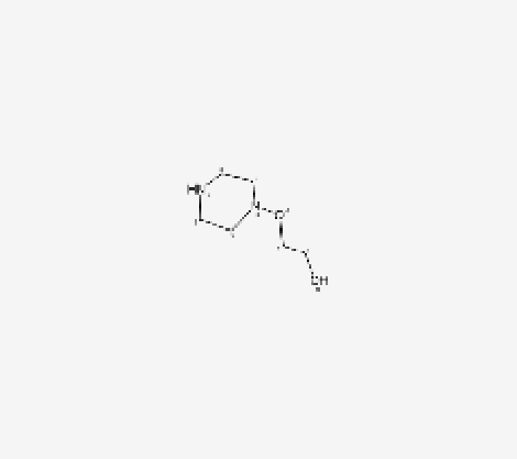 OCCON1CCNCC1